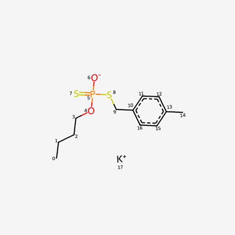 CCCCOP([O-])(=S)SCc1ccc(C)cc1.[K+]